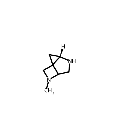 CN1CC23C[C@@H]2NCC13